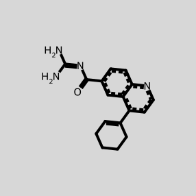 NC(N)=NC(=O)c1ccc2nccc(C3=CCCCC3)c2c1